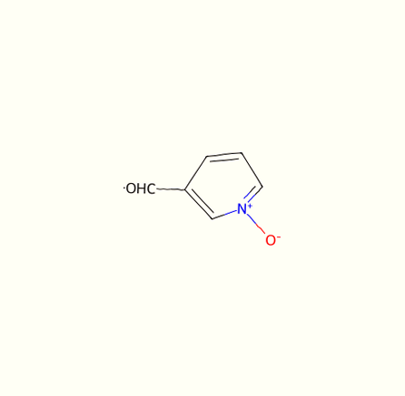 O=[C]c1ccc[n+]([O-])c1